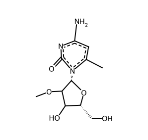 COC1C(O)[C@@H](CO)O[C@H]1n1c(C)cc(N)nc1=O